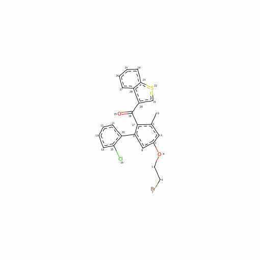 Cc1cc(OCCBr)cc(-c2ccccc2Cl)c1C(=O)c1csc2ccccc12